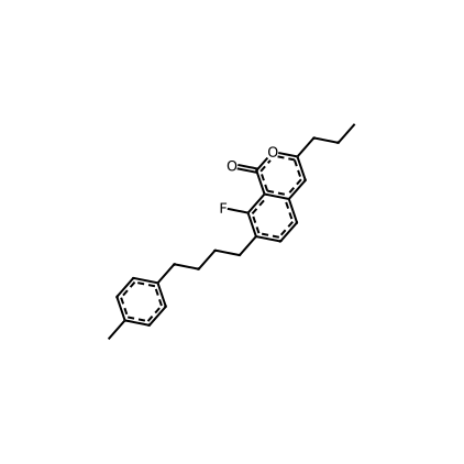 CCCc1cc2ccc(CCCCc3ccc(C)cc3)c(F)c2c(=O)o1